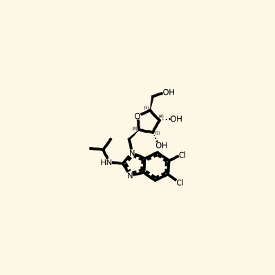 CC(C)Nc1nc2cc(Cl)c(Cl)cc2n1C[C@H]1O[C@@H](CO)[C@H](O)[C@@H]1O